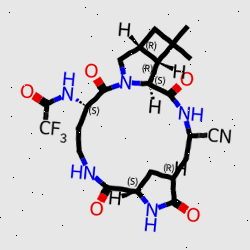 CC1(C)C[C@H]2CN3C(=O)[C@@H](NC(=O)C(F)(F)F)CCNC(=O)[C@@H]4C[C@@H](CC(C#N)NC(=O)[C@@H]3[C@H]21)C(=O)N4